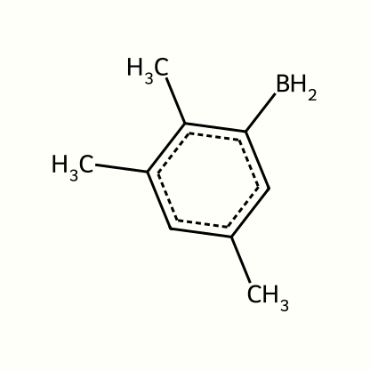 Bc1cc(C)cc(C)c1C